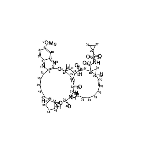 COc1ccc2nc3c(nc2c1)O[C@@H]1C[C@H]2C(=O)CC4(C(=O)NS(=O)(=O)C5CC5)C[C@H]4/C=C\CCCCC[C@H](NC(=O)O[C@@H]4CCC[C@H]4CCCCC3)C(=O)N2C1